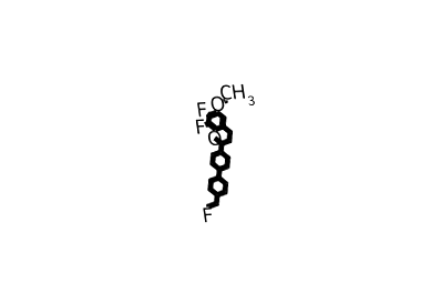 CCOc1cc2c(c(F)c1F)OC(C1CCC(C3CCC(CCF)CC3)CC1)CC2